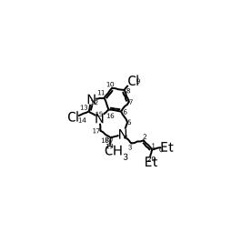 CCC(=CCN1Cc2cc(Cl)cc3nc(Cl)n(c23)C[C@@H]1C)CC